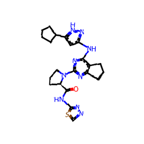 O=C(Nc1nncs1)[C@H]1CCCN1c1nc2c(c(Nc3cc(C4CCCC4)[nH]n3)n1)CCC2